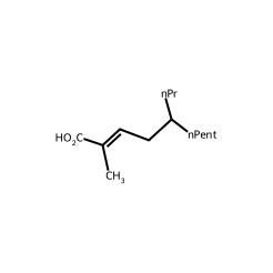 CCCCCC(CC=C(C)C(=O)O)CCC